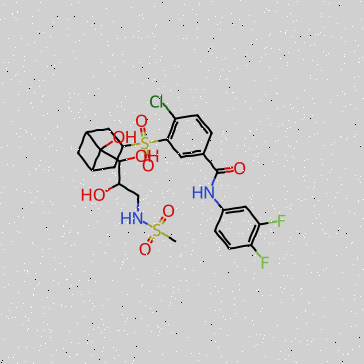 CS(=O)(=O)NCC(O)C(O)C1(O)C2CC1CC(S(=O)(=O)c1cc(C(=O)Nc3ccc(F)c(F)c3)ccc1Cl)C2